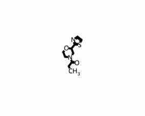 CCC(=O)N1CCOC(c2nccs2)C1